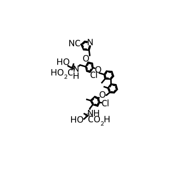 Cc1cc(OCc2cccc(-c3cccc(COc4cc(OCc5cncc(C#N)c5)c(CN[C@@](C)(CO)C(=O)O)cc4Cl)c3C)c2C)c(Cl)cc1CN[C@@](C)(CO)C(=O)O